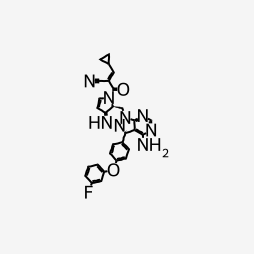 N#CC(=CC1CC1)C(=O)N1C=CC(=N)[C@@H]1Cn1nc(-c2ccc(Oc3cccc(F)c3)cc2)c2c(N)ncnc21